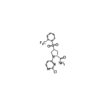 NC(=O)C1CC(S(=O)(=O)c2ccccc2C(F)(F)F)CN1c1ccnc(Cl)n1